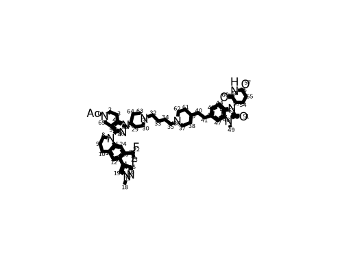 CC(=O)N1CCc2c(c(N3CCCc4cc(-c5cnn(C)c5)c(C(F)F)cc43)nn2C2CCN(CCCCN3CCC(CCc4ccc5c(c4)n(C)c(=O)n5C4CCC(=O)NC4=O)CC3)CC2)C1